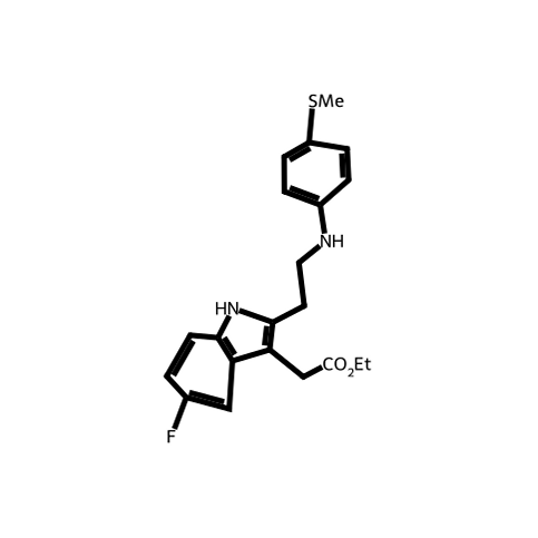 CCOC(=O)Cc1c(CCNc2ccc(SC)cc2)[nH]c2ccc(F)cc12